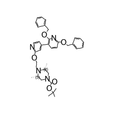 C[C@@H]1CN(C(=O)OC(C)(C)C)C[C@H](C)N1CCOc1cc(-c2ccc(OCc3ccccc3)nc2OCc2ccccc2)ccn1